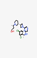 C[C@@H](Nc1cncc(N2CC([C@H]3CCCN([C@@H](C)CCO)C3)C2)n1)c1ccc(Cl)cc1Cl